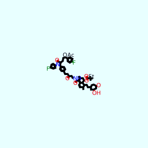 CCC(C)(C)C(=O)OC1CC(C)C(C(=O)NCCC(=O)CCc2ccc(C3C(CCC(OC(C)=O)c4ccc(F)cc4)C(=O)N3c3ccc(F)cc3)cc2)=C2C=CC(C)C(CCC3CCC(=O)CC(O)C3)C21